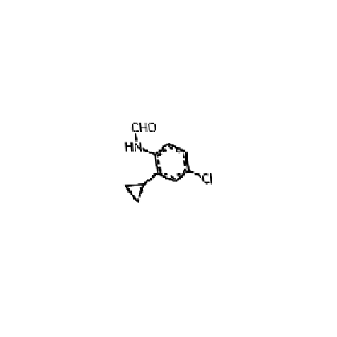 O=CNc1ccc(Cl)cc1C1CC1